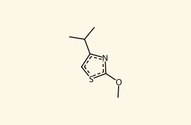 COc1nc(C(C)C)cs1